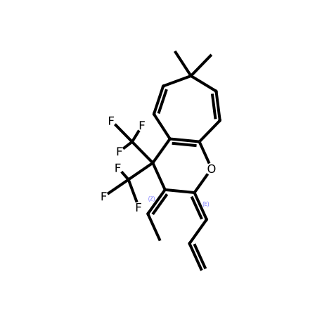 C=C/C=C1/OC2=C(C=CC(C)(C)C=C2)C(C(F)(F)F)(C(F)(F)F)/C1=C/C